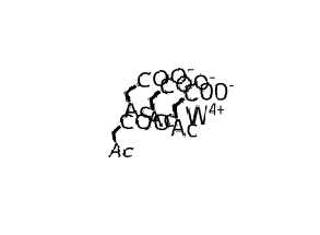 CC(=O)CC(=O)[O-].CC(=O)CC(=O)[O-].CC(=O)CC(=O)[O-].CC(=O)CC(=O)[O-].[W+4]